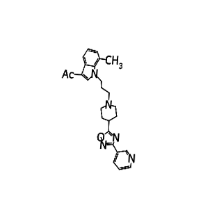 CC(=O)c1cn(CCCN2CCC(c3nc(-c4cccnc4)no3)CC2)c2c(C)cccc12